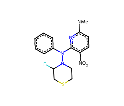 CNc1ccc([N+](=O)[O-])c(N(c2ccccc2)N2CCSCC2F)n1